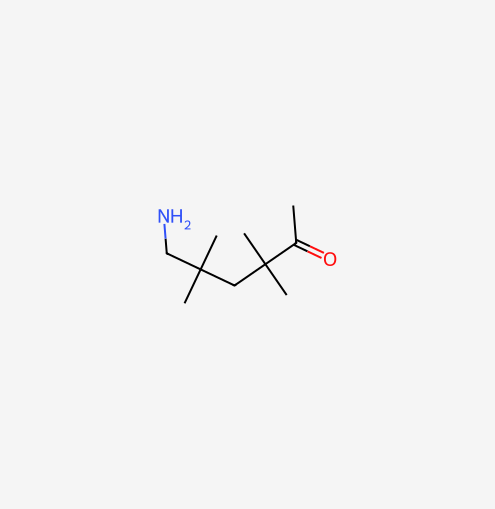 CC(=O)C(C)(C)CC(C)(C)CN